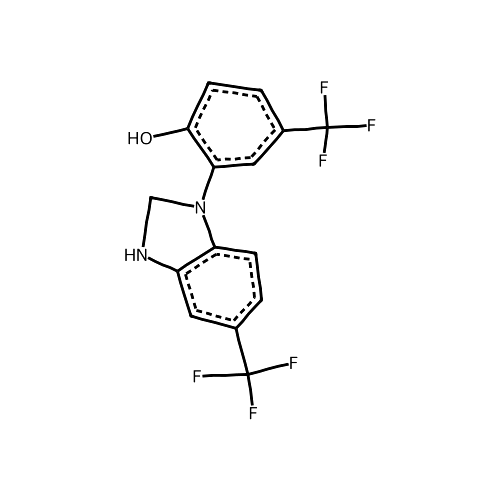 Oc1ccc(C(F)(F)F)cc1N1CNc2cc(C(F)(F)F)ccc21